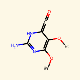 CCOC1=C(OC(C)C)N=C(N)NC1=C=O